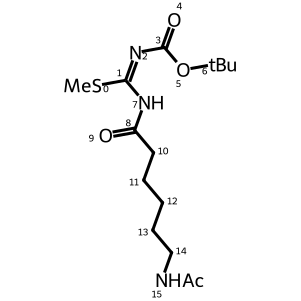 CSC(=NC(=O)OC(C)(C)C)NC(=O)CCCCCNC(C)=O